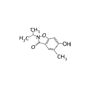 Cc1cc2c(=O)n(C(C)C)oc2cc1O